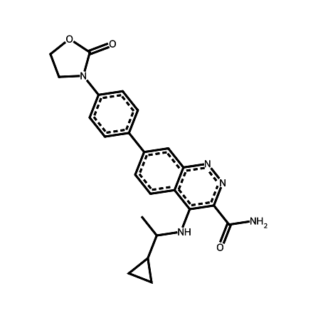 CC(Nc1c(C(N)=O)nnc2cc(-c3ccc(N4CCOC4=O)cc3)ccc12)C1CC1